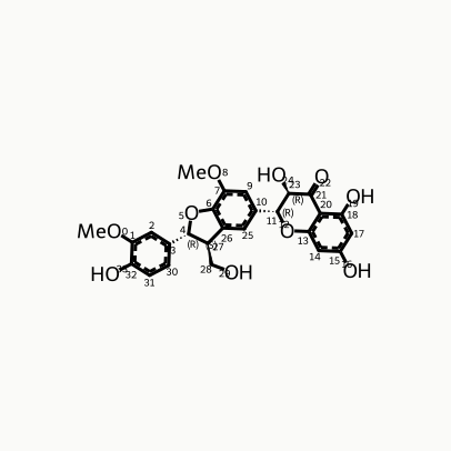 COc1cc([C@@H]2Oc3c(OC)cc([C@H]4Oc5cc(O)cc(O)c5C(=O)[C@@H]4O)cc3[C@H]2CO)ccc1O